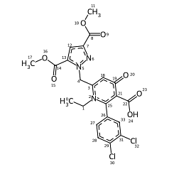 CCn1c(Cn2nc(C(=O)OC)cc2C(=O)OC)cc(=O)c(C(=O)O)c1-c1ccc(Cl)c(Cl)c1